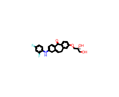 O=C1C2=CC=C(Nc3ccc(F)cc3F)CC2=CCc2cc(OC[C@H](O)CO)ccc21